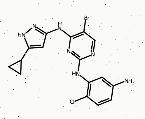 Nc1ccc(Cl)c(Nc2ncc(Br)c(Nc3cc(C4CC4)[nH]n3)n2)c1